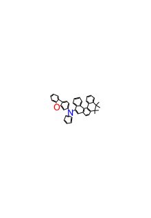 CC1(C)c2ccccc2-c2c(ccc3cc(N(c4ccccc4)c4ccc5c(c4)oc4ccccc45)c4ccccc4c23)C1(C)C